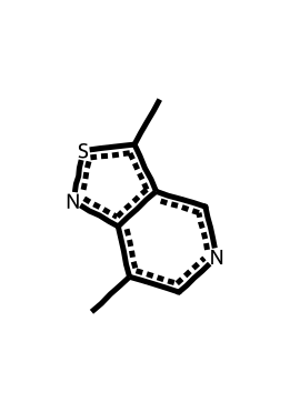 Cc1snc2c(C)cncc12